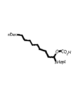 CCCCCCCCCCCCCCCCCCC(CCCCCCC)OC(=O)O